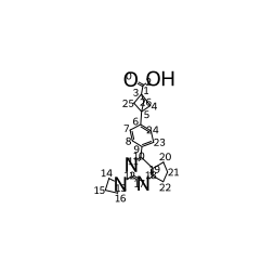 O=C(O)C12CC(c3ccc(-c4nc(N5CCC5)nc5c4CCC5)cc3)(C1)C2